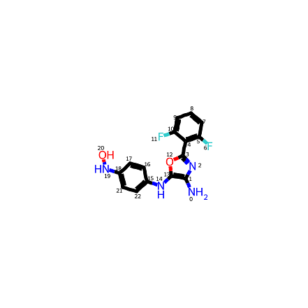 Nc1nc(-c2c(F)cccc2F)oc1Nc1ccc(NO)cc1